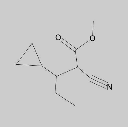 CCC(C1CC1)C(C#N)C(=O)OC